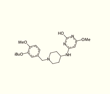 COc1cc(NC2CCN(Cc3ccc(OC)c(OCC(C)C)c3)CC2)nc(O)n1